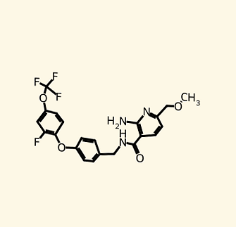 COCc1ccc(C(=O)NCc2ccc(Oc3ccc(OC(F)(F)F)cc3F)cc2)c(N)n1